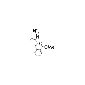 COC(=O)c1ccccc1/C=C/C(=O)N=[N+]=[N-]